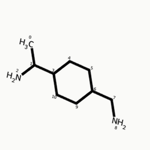 CC(N)C1CCC(CN)CC1